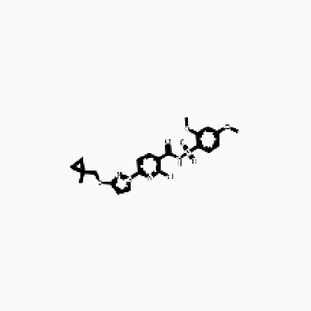 COc1ccc(S(=O)(=O)NC(=O)c2ccc(-n3ccc(OCC4(C)CC4)n3)nc2Cl)c(OC)c1